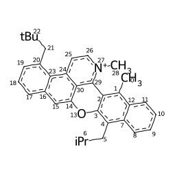 Cc1c2c(c(CC(C)C)c3ccccc13)Oc1cc3cccc(CC(C)(C)C)c3c3cc[n+](C)c-2c13